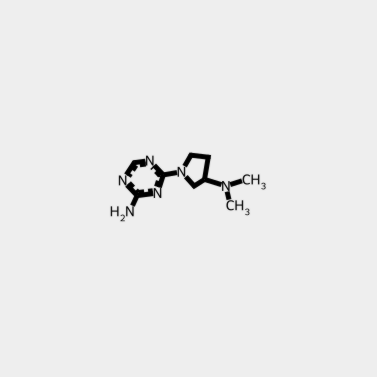 CN(C)C1CCN(c2ncnc(N)n2)C1